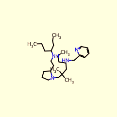 CCCC(CCC)NCCC1CCCN1CC(C)(C)CC(CCC)NCc1ccccn1